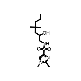 CCCC(C)(C)CC(O)CNS(=O)(=O)c1cn(C)c(C)n1